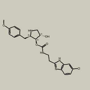 COc1ccc(C[C@H]2NC[C@H](O)[C@H]2OC(=O)NCCc2nc3ccc(Cl)cc3[nH]2)cc1